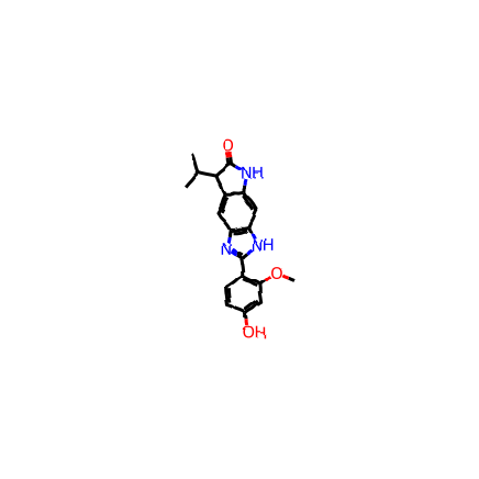 COc1cc(O)ccc1-c1nc2cc3c(cc2[nH]1)NC(=O)C3C(C)C